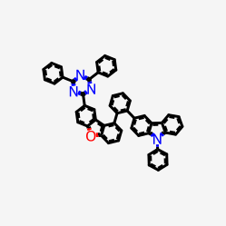 c1ccc(-c2nc(-c3ccccc3)nc(-c3ccc4oc5cccc(-c6ccccc6-c6ccc7c(c6)c6ccccc6n7-c6ccccc6)c5c4c3)n2)cc1